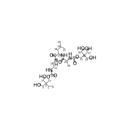 CCC(CO)(CO)COC(=O)NCCNC(=O)C(CC(C)C)NC(=O)C(C)NC(=O)OCC(CO)(CO)CO